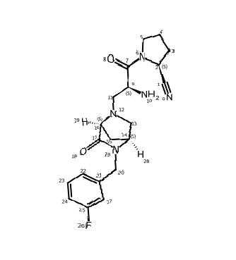 N#C[C@@H]1CCCN1C(=O)[C@@H](N)CN1C[C@@H]2C[C@H]1C(=O)N2Cc1cccc(F)c1